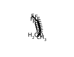 C=C(C)C(=O)OC(F)C(F)(F)C(F)(F)C(F)(F)C(F)(F)C(F)(F)C(F)C(F)C(F)C(F)F